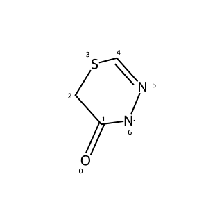 O=C1CSC=N[N]1